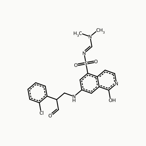 CN(C)/C=N/S(=O)(=O)c1cc(NCC(C=O)c2ccccc2Cl)cc2c(O)nccc12